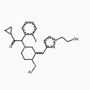 CC(=O)SC1CCN(C(C(=O)C2CC2)c2ccccc2F)C/C1=C\c1ccn(CCO)n1